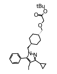 CC(C)(C)OC(=O)COC[C@H]1CC[C@H](Cn2nc(C3CC3)c(I)c2-c2ccccc2)CC1